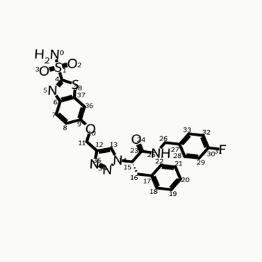 NS(=O)(=O)c1nc2ccc(OCc3cn([C@@H](Cc4ccccc4)C(=O)NCc4ccc(F)cc4)nn3)cc2s1